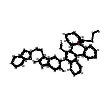 CCCC#CCc1c(C=S)c(-c2cc3c(/C=C\c4cc5ccccc5o4)c(C)oc3cc2C)c2ccccc2c1-c1ccccc1-c1ccccc1